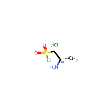 C[C@H](N)CS(=O)(=O)Cl.Cl